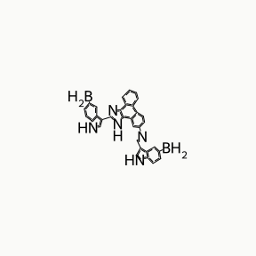 Bc1ccc2[nH]cc(C=Nc3ccc4c5ccccc5c5nc(-c6c[nH]c7ccc(B)cc67)[nH]c5c4c3)c2c1